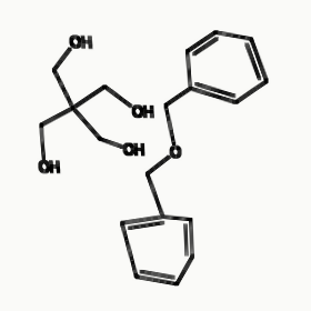 OCC(CO)(CO)CO.c1ccc(COCc2ccccc2)cc1